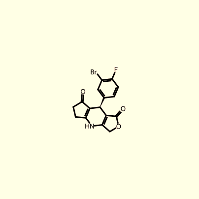 O=C1CCC2=C1[C@@H](c1ccc(F)c(Br)c1)C1=C(COC1=O)N2